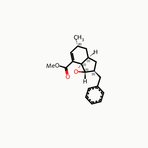 COC(=O)C1=C[C@H](C)C[C@H]2C[C@@H](Cc3ccccc3)[C@@H]3O[C@]123